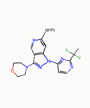 CC(=O)Nc1cc2c(cn1)c(N1CCOCC1)nn2-c1ccnc(C(C)(F)F)n1